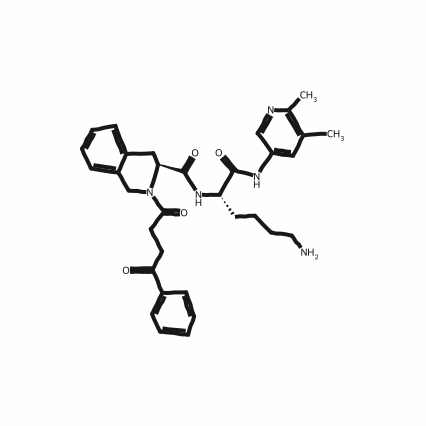 Cc1cc(NC(=O)[C@H](CCCCN)NC(=O)[C@@H]2Cc3ccccc3CN2C(=O)CCC(=O)c2ccccc2)cnc1C